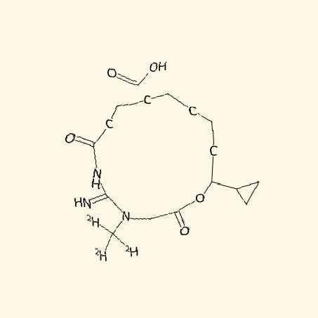 O=CO.[2H]C([2H])([2H])N1CC(=O)OC(C2CC2)CCCCCCCC(=O)NC1=N